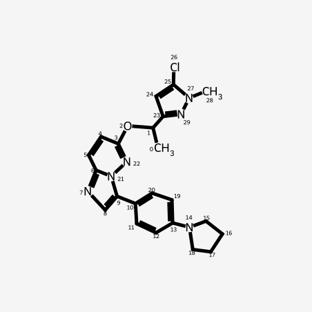 CC(Oc1ccc2ncc(-c3ccc(N4CCCC4)cc3)n2n1)c1cc(Cl)n(C)n1